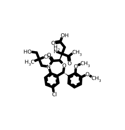 COc1cccc([C@H]2O[C@H](C(N)(CC(=O)O)C(C)=O)C(=O)N(CC(C)(C)CO)c3ccc(Cl)cc32)c1OC